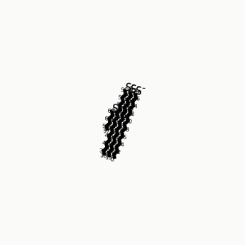 CCCCCCCCCCCCCCCCCC[S-].CCCCCCCCCCCCCCCCCC[S-].CCCCCCCCCCCCCCCCCC[S-].CCCCC[CH2][Sn+3]